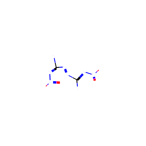 NC(N=NC(N)=N[N+](=O)[O-])=N[N+](=O)[O-]